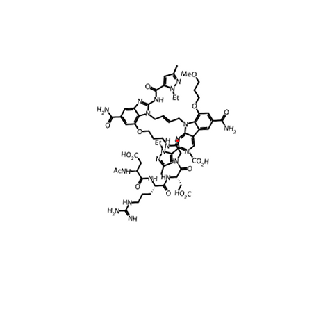 CCn1nc(C)cc1C(=O)Nc1nc2cc(C(N)=O)cc(OCCCNC(=O)[C@H](CC(=O)O)NC(=O)[C@H](CC(=O)O)NC(=O)[C@H](CCCNC(=N)N)NC(=O)[C@H](CC(=O)O)NC(C)=O)c2n1C/C=C/Cn1c2nc(-c3cc(C)nn3CC)ncc2c2cc(C(N)=O)cc(OCCCOC)c21